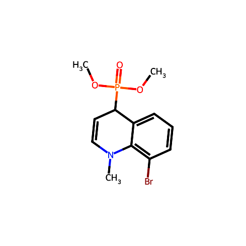 COP(=O)(OC)C1C=CN(C)c2c(Br)cccc21